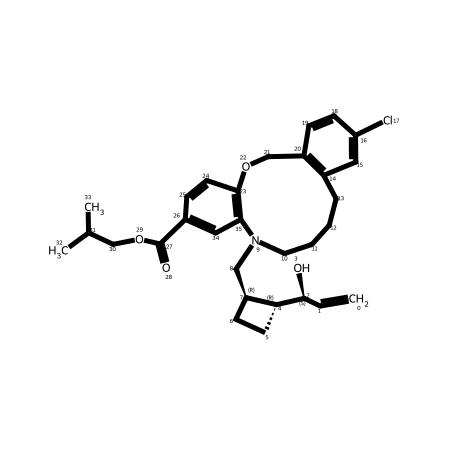 C=C[C@H](O)[C@@H]1CC[C@H]1CN1CCCCc2cc(Cl)ccc2COc2ccc(C(=O)OCC(C)C)cc21